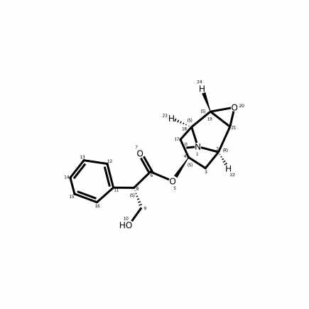 CN1[C@@H]2C[C@@H](OC(=O)[C@H](CO)c3ccccc3)C[C@H]1[C@@H]1OC12